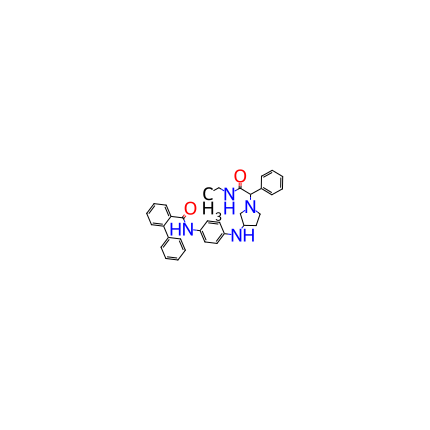 CCNC(=O)C(c1ccccc1)N1CCC(Nc2ccc(NC(=O)c3ccccc3-c3ccccc3)cc2)C1